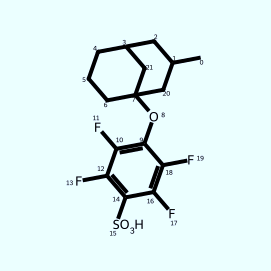 CC1CC2CCCC(Oc3c(F)c(F)c(S(=O)(=O)O)c(F)c3F)(C1)C2